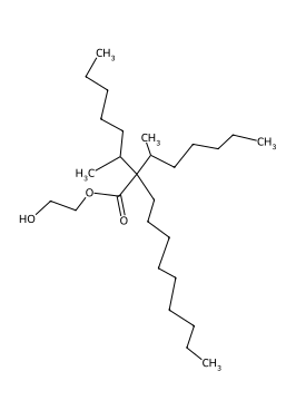 CCCCCCCCCC(C(=O)OCCO)(C(C)CCCCC)C(C)CCCCC